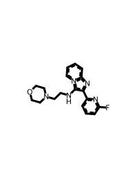 Fc1cccc(-c2nc3ccccn3c2NCCN2CCOCC2)n1